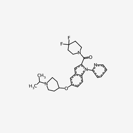 CC(C)N1CCC(Oc2ccc3c(c2)cc(C(=O)N2CCC(F)(F)CC2)n3-c2ccccn2)CC1